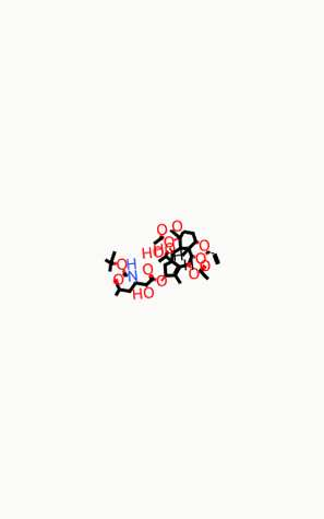 C=C[C@H]1OC2CC3OC[C@@]3(OC(C)=O)[C@H]3[C@H](O)C4(C(C)(C)O)C[C@H](OC(=O)[C@H](O)C(CC(C)C)NC(=O)OC(C)(C)C)C(C)=C4[C@H](OC(C)=O)[C@H](O1)C23C